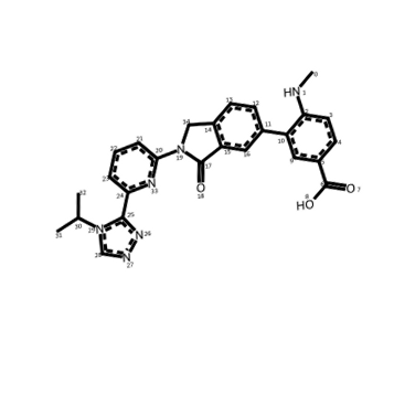 CNc1ccc(C(=O)O)cc1-c1ccc2c(c1)C(=O)N(c1cccc(-c3nncn3C(C)C)n1)C2